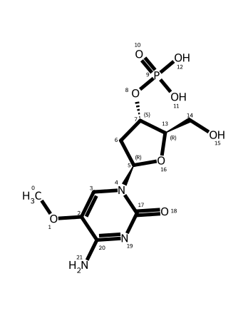 COc1cn([C@H]2C[C@H](OP(=O)(O)O)[C@@H](CO)O2)c(=O)nc1N